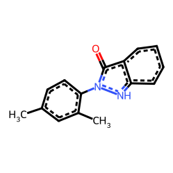 Cc1ccc(-n2[nH]c3ccccc3c2=O)c(C)c1